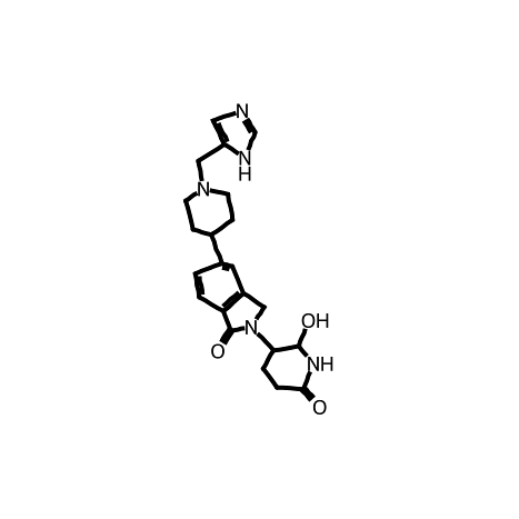 O=C1CCC(N2Cc3cc(C4CCN(Cc5cnc[nH]5)CC4)ccc3C2=O)C(O)N1